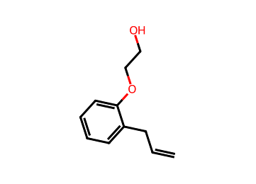 C=CCc1ccccc1OCCO